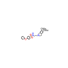 COc1cc2c(cc1OC)CN(CCCNS(=O)(=O)c1ccc(Oc3ccccc3)cc1)CC2